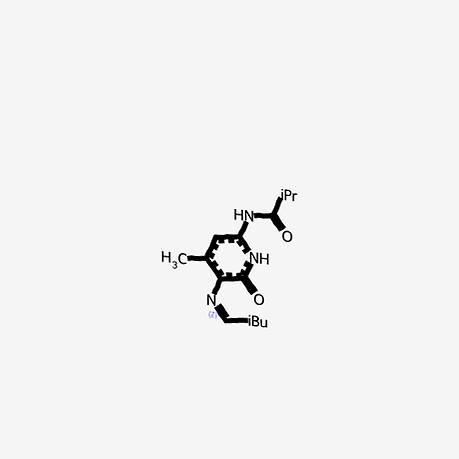 CCC(C)/C=N\c1c(C)cc(NC(=O)C(C)C)[nH]c1=O